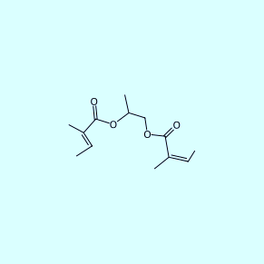 CC=C(C)C(=O)OCC(C)OC(=O)C(C)=CC